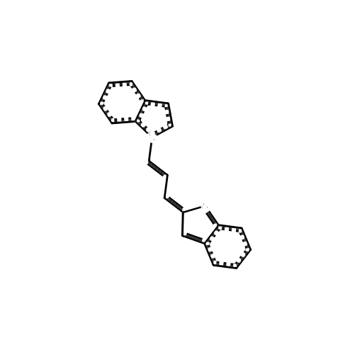 C(=Cn1ccc2ccccc21)C=C1C=c2ccccc2=N1